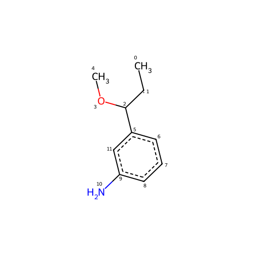 C[CH]C(OC)c1cccc(N)c1